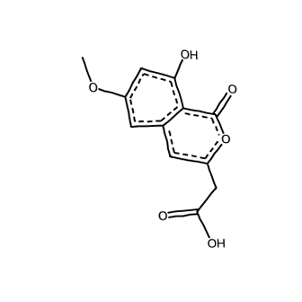 COc1cc(O)c2c(=O)oc(CC(=O)O)cc2c1